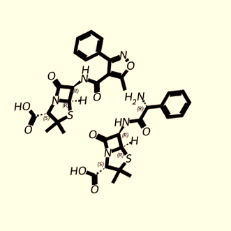 CC1(C)S[C@@H]2[C@H](NC(=O)[C@H](N)c3ccccc3)C(=O)N2[C@H]1C(=O)O.Cc1onc(-c2ccccc2)c1C(=O)N[C@@H]1C(=O)N2[C@@H]1SC(C)(C)[C@@H]2C(=O)O